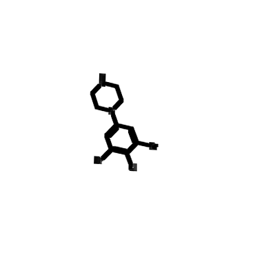 Clc1c(Br)cc(N2CCNCC2)cc1Br